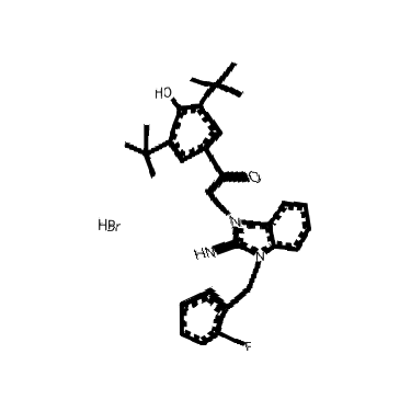 Br.CC(C)(C)c1cc(C(=O)Cn2c(=N)n(Cc3ccccc3F)c3ccccc32)cc(C(C)(C)C)c1O